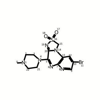 CN1CCN(C2=Nc3ncc(Br)cc3N3CS(=O)(=O)N=C23)CC1